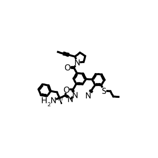 CC#CC1CCCN1C(=O)c1cc(-c2nnc([C@](C)(N)Cc3ccccc3)o2)cc(-c2cccc(SCCC)c2C#N)c1